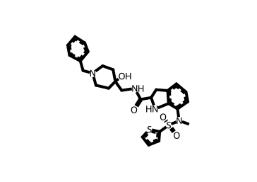 CN(c1cccc2c1NC(C(=O)NCC1(O)CCN(Cc3ccccc3)CC1)C2)S(=O)(=O)c1cccs1